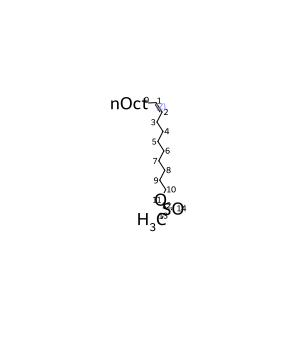 CCCCCCCC/C=C\CCCCCCCCOS(C)=O